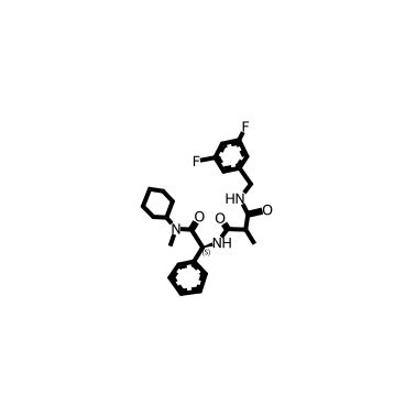 CC(C(=O)NCc1cc(F)cc(F)c1)C(=O)N[C@H](C(=O)N(C)C1CCCCC1)c1ccccc1